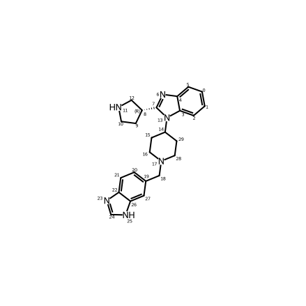 c1ccc2c(c1)nc([C@@H]1CCNC1)n2C1CCN(Cc2ccc3nc[nH]c3c2)CC1